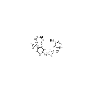 Brc1ccnc(O[C@H]2C[C@H](OC3CCN(C4(C5CCNCC5)CC4)CC3)C2)c1